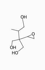 CC(CO)C(CO)(CO)C1CO1